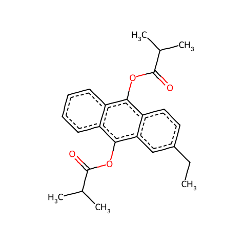 CCc1ccc2c(OC(=O)C(C)C)c3ccccc3c(OC(=O)C(C)C)c2c1